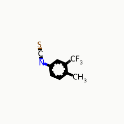 Cc1ccc(N=C=S)cc1C(F)(F)F